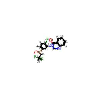 Cc1cc(F)c(-n2cnc3ccccc3c2=O)cc1[S@+]([O-])CC(C)(F)F